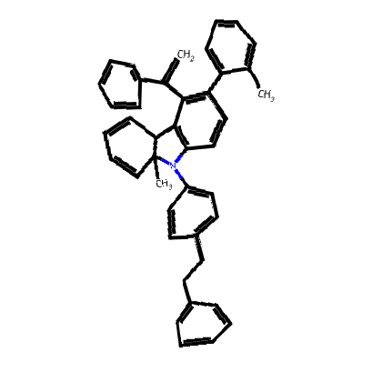 C=C(c1ccccc1)c1c(-c2ccccc2C)ccc2c1C1C=CC=CC1(C)N2c1ccc(CCc2ccccc2)cc1